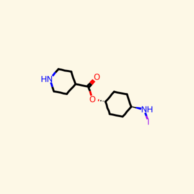 O=C(O[C@H]1CC[C@H](NI)CC1)C1CCNCC1